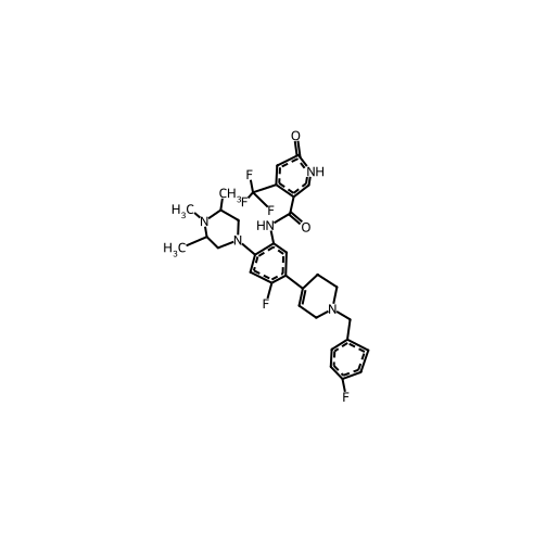 CC1CN(c2cc(F)c(C3=CCN(Cc4ccc(F)cc4)CC3)cc2NC(=O)c2c[nH]c(=O)cc2C(F)(F)F)CC(C)N1C